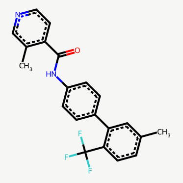 Cc1ccc(C(F)(F)F)c(-c2ccc(NC(=O)c3ccncc3C)cc2)c1